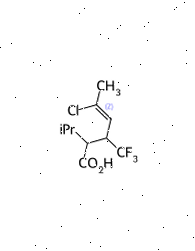 C/C(Cl)=C/C(C(C(=O)O)C(C)C)C(F)(F)F